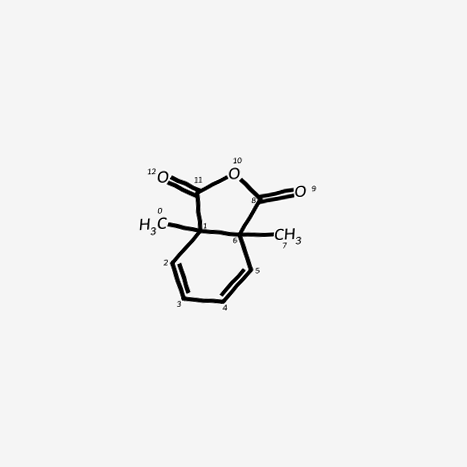 CC12C=CC=CC1(C)C(=O)OC2=O